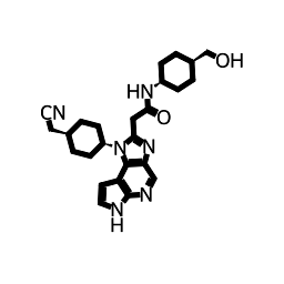 N#CC[C@H]1CC[C@H](n2c(CC(=O)N[C@H]3CC[C@H](CO)CC3)nc3cnc4[nH]ccc4c32)CC1